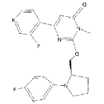 Cn1c(OC[C@H]2CCCN2c2ccc(F)cc2)nc(-c2ccncc2F)cc1=O